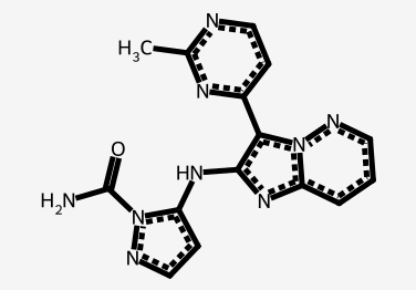 Cc1nccc(-c2c(Nc3ccnn3C(N)=O)nc3cccnn23)n1